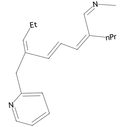 CC\C=C(/C=C/C=C(\C=N/C)CCC)Cc1ccccn1